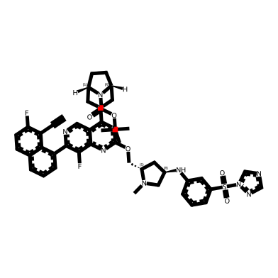 C#Cc1c(F)ccc2cccc(-c3ncc4c(N5C[C@H]6CC[C@@H](C5)N6C(=O)OC(C)(C)C)nc(OC[C@@H]5C[C@@H](Nc6cccc(S(=O)(=O)n7cncn7)c6)CN5C)nc4c3F)c12